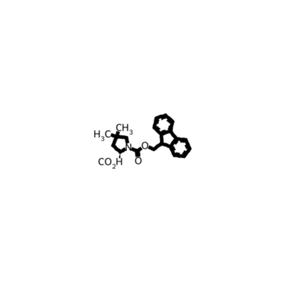 CC1(C)C[C@@H](C(=O)O)N(C(=O)OCC2c3ccccc3-c3ccccc32)C1